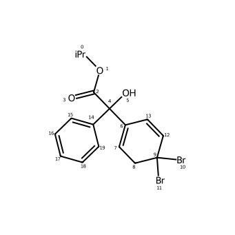 CC(C)OC(=O)C(O)(C1=CCC(Br)(Br)C=C1)c1ccccc1